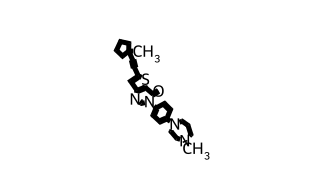 CN1CCCN(c2ccc(-n3cnc4cc(C#CC5(C)CCCC5)sc4c3=O)cc2)CC1